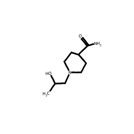 CC(O)CN1CCC(C(N)=O)CC1